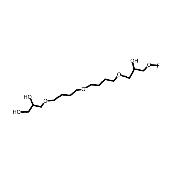 OCC(O)COCCCCOCCCCOCC(O)COF